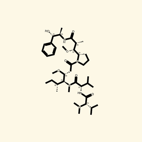 CC[C@@H](C)[C@@H]([C@@H](CC(=O)N1CCC[C@H]1[C@H](OC)[C@@H](C)C(=O)N[C@H](C)[C@@H](O)c1ccccc1)OC)N(C)C(=O)[C@@H](NC(=O)[C@H](C(C)C)N(C)C)C(C)C